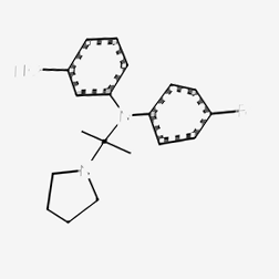 CC(C)(N1CCCC1)N(c1ccc(Br)cc1)c1cccc(O)c1